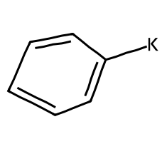 [K][c]1ccccc1